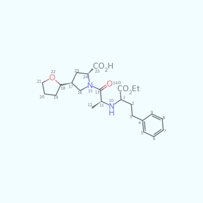 CCOC(=O)C(CCc1ccccc1)N[C@@H](C)C(=O)N1C[C@@H](C2CCCO2)C[C@H]1C(=O)O